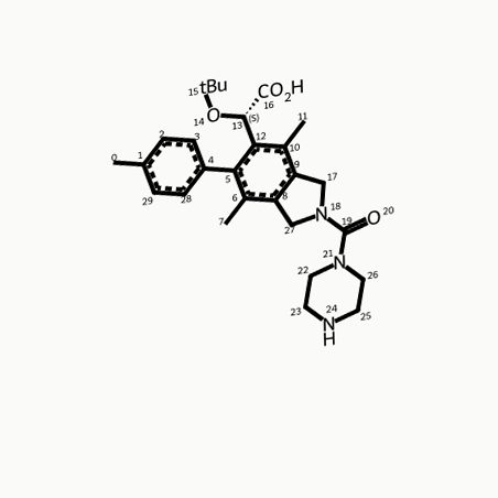 Cc1ccc(-c2c(C)c3c(c(C)c2[C@H](OC(C)(C)C)C(=O)O)CN(C(=O)N2CCNCC2)C3)cc1